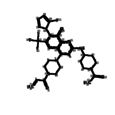 C=CC(=O)N1CCN(c2nc(NC3CCN(C(C)=O)CC3)nc3c(=O)n(C4C=CC=C4F)c(C(F)(F)F)cc23)CC1